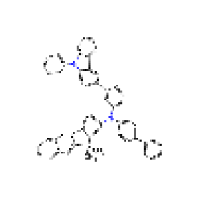 CC1(C)c2cc(N(c3ccc(-c4ccccc4)cc3)c3cccc(-c4ccc5c(c4)c4ccccc4n5-c4ccccc4)c3)ccc2-c2cc3ccccc3cc21